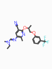 CCN(C)C=Nc1cc(C#N)c(OC(C)COc2cccc(C(F)(F)F)c2)nc1C